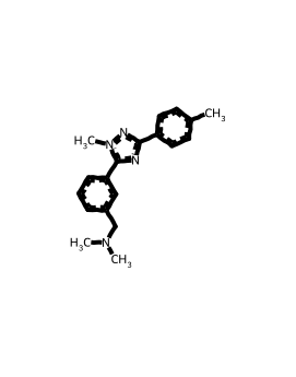 Cc1ccc(-c2nc(-c3cccc(CN(C)C)c3)n(C)n2)cc1